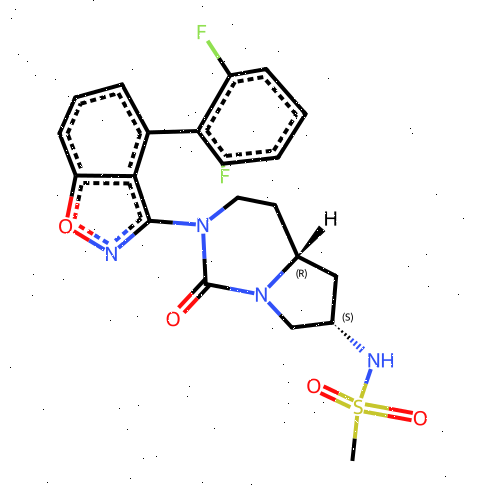 CS(=O)(=O)N[C@H]1C[C@H]2CCN(c3noc4cccc(-c5c(F)cccc5F)c34)C(=O)N2C1